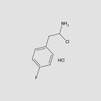 Cl.NC(Cl)Cc1ccc(F)cc1